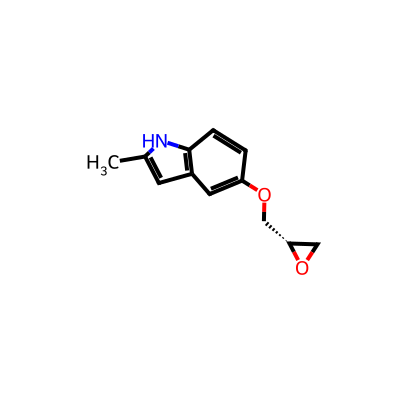 Cc1cc2cc(OC[C@@H]3CO3)ccc2[nH]1